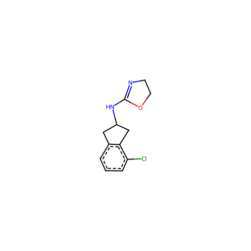 Clc1cccc2c1CC(NC1=NCCO1)C2